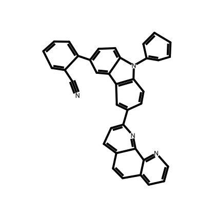 N#Cc1ccccc1-c1ccc2c(c1)c1cc(-c3ccc4ccc5cccnc5c4n3)ccc1n2-c1ccccc1